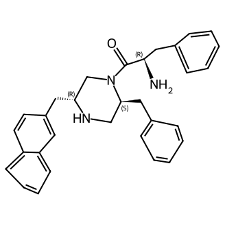 N[C@H](Cc1ccccc1)C(=O)N1C[C@@H](Cc2ccc3ccccc3c2)NC[C@@H]1Cc1ccccc1